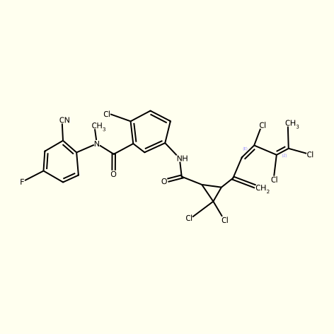 C=C(/C=C(Cl)\C(Cl)=C(/C)Cl)C1C(C(=O)Nc2ccc(Cl)c(C(=O)N(C)c3ccc(F)cc3C#N)c2)C1(Cl)Cl